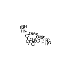 COc1cc(-c2ccnc(-c3cccc(-c4ccc(CNC[C@@H]5CCC(=O)N5)c(OC)n4)c3Cl)c2Cl)ccc1CNCc1ccc[nH]1